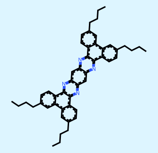 CCCCc1ccc2c(c1)c1cc(CCCC)ccc1c1nc3cc4nc5c6ccc(CCCC)cc6c6cc(CCCC)ccc6c5nc4cc3nc21